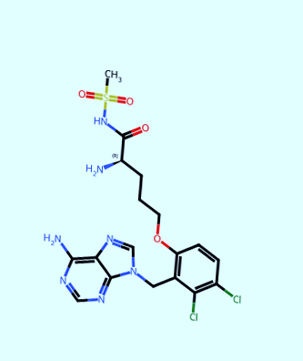 CS(=O)(=O)NC(=O)[C@H](N)CCCOc1ccc(Cl)c(Cl)c1Cn1cnc2c(N)ncnc21